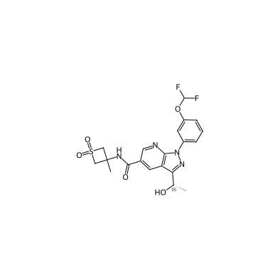 C[C@H](O)c1nn(-c2cccc(OC(F)F)c2)c2ncc(C(=O)NC3(C)CS(=O)(=O)C3)cc12